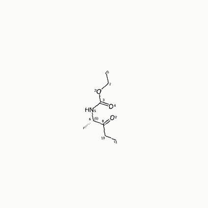 CCOC(=O)N[C@@H](C)C(=O)CC